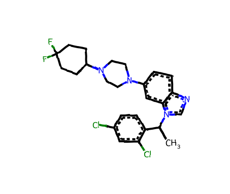 CC(c1ccc(Cl)cc1Cl)n1cnc2ccc(N3CCN(C4CCC(F)(F)CC4)CC3)cc21